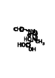 CC(Cc1cccc(C(=O)NCCc2ccc(Cl)cc2)c1)NCC(O)c1cc(O)cc(O)c1